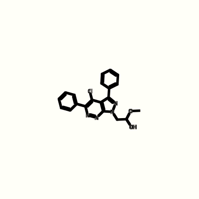 COC(O)Cn1nc(-c2ccccc2)c2c(Cl)c(-c3ccccc3)nnc21